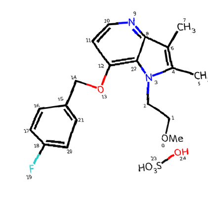 COCCn1c(C)c(C)c2nccc(OCc3ccc(F)cc3)c21.O=S(=O)(O)O